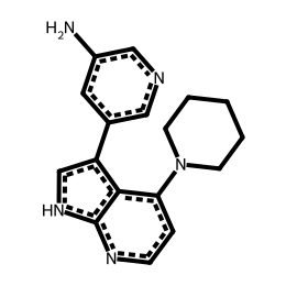 Nc1cncc(-c2c[nH]c3nccc(N4CCCCC4)c23)c1